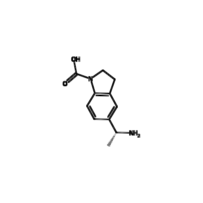 C[C@@H](N)c1ccc2c(c1)CCN2C(=O)O